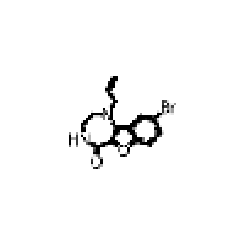 C=CCN1CCNC(=O)c2oc3ccc(Br)cc3c21